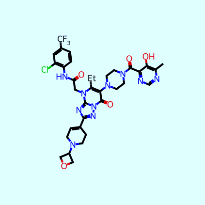 CCc1c(N2CCN(C(=O)c3ncnc(C)c3O)CC2)c(=O)n2nc(C3=CCN(C4COC4)CC3)nc2n1CC(=O)Nc1ccc(C(F)(F)F)cc1Cl